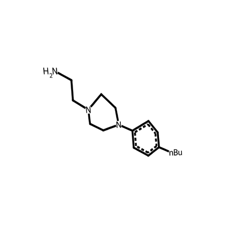 CCCCc1ccc(N2CCN(CCN)CC2)cc1